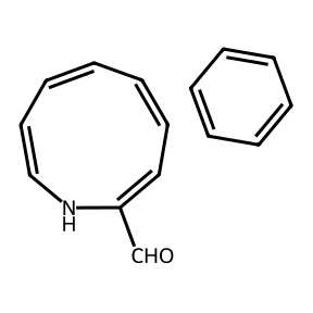 O=Cc1ccccccc[nH]1.c1ccccc1